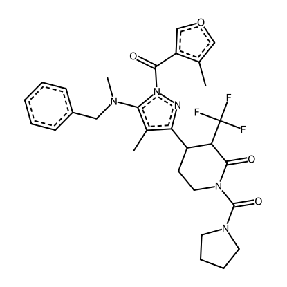 Cc1cocc1C(=O)n1nc(C2CCN(C(=O)N3CCCC3)C(=O)C2C(F)(F)F)c(C)c1N(C)Cc1ccccc1